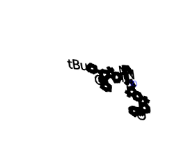 C=C(/C=C\C1=CC(C)(C)c2cc3c(cc21)C(C)(C)c1ccc2oc4ccccc4c2c1-3)N(c1ncccn1)C1C=CC2=C(C1)C(C)(C)c1cc(-c3ccc(C(C)(C)C)cc3)c3oc4ccccc4c3c12